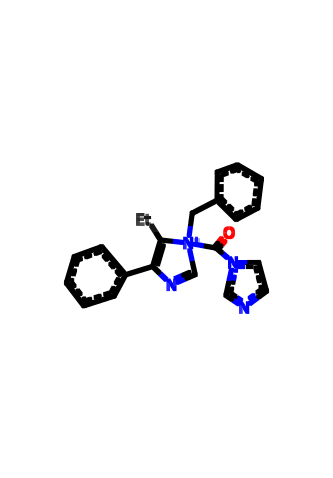 CCC1=C(c2ccccc2)N=C[N+]1(Cc1ccccc1)C(=O)n1ccnc1